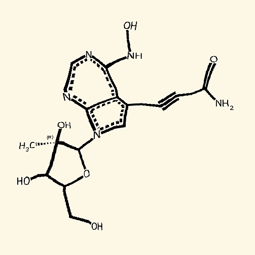 C[C@@]1(O)C(O)C(CO)OC1n1cc(C#CC(N)=O)c2c(NO)ncnc21